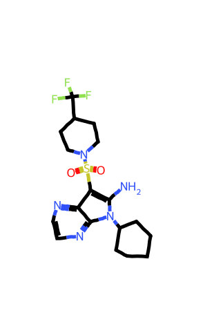 Nc1c(S(=O)(=O)N2CCC(C(F)(F)F)CC2)c2nccnc2n1C1CCCCC1